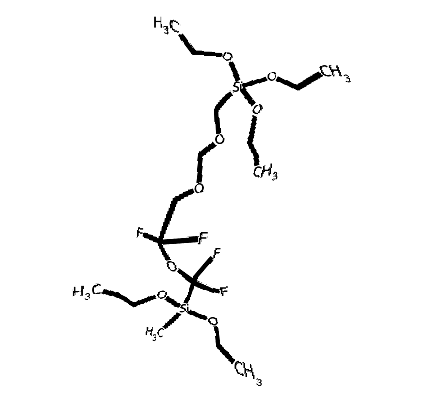 CCO[Si](COCOCC(F)(F)OC(F)(F)[Si](C)(OCC)OCC)(OCC)OCC